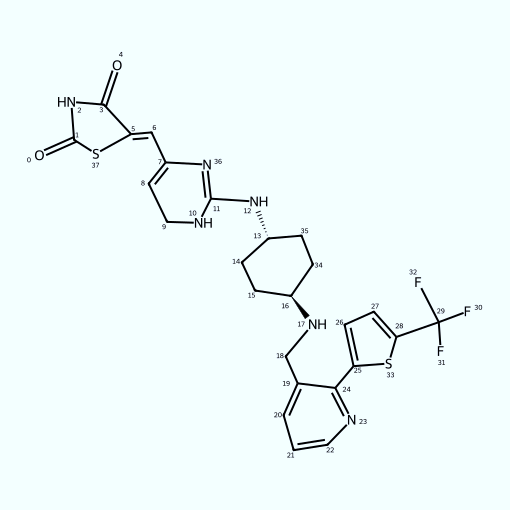 O=C1NC(=O)/C(=C/C2=CCNC(N[C@H]3CC[C@H](NCc4cccnc4-c4ccc(C(F)(F)F)s4)CC3)=N2)S1